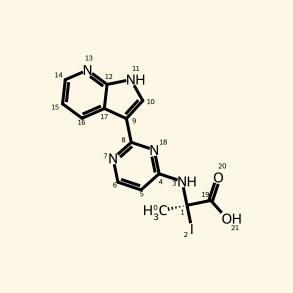 C[C@](I)(Nc1ccnc(-c2c[nH]c3ncccc23)n1)C(=O)O